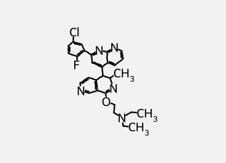 CCN(CC)CCOC1=NC(C)C(c2cc(-c3cc(Cl)ccc3F)nc3ncccc23)c2ccncc21